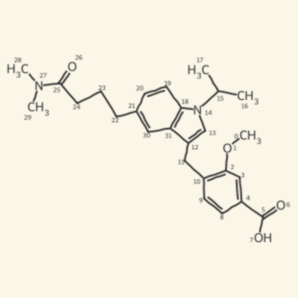 COc1cc(C(=O)O)ccc1Cc1cn(C(C)C)c2ccc(CCCC(=O)N(C)C)cc12